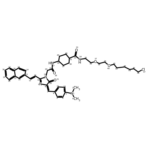 CN(C)c1ccc(/C=C2N=C(/C=C/c3ccc4ccccc4c3)N(CC(=O)NC3CCC(C(=O)NCCOCCOCCCCCCCl)CC3)C/2=O)cc1